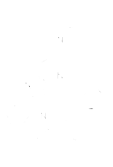 CC(C)NCc1cnc2sc(-c3ccccc3NC(=O)c3cccc(-c4ccccc4)c3)nc2c1